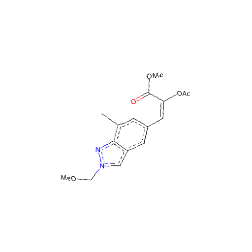 COCn1cc2cc(/C=C(/OC(C)=O)C(=O)OC)cc(C)c2n1